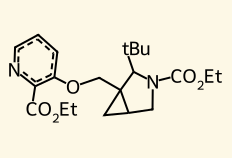 CCOC(=O)c1ncccc1OCC12CC1CN(C(=O)OCC)C2C(C)(C)C